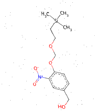 C[Si](C)(C)CCOCOc1ccc(CO)cc1[N+](=O)[O-]